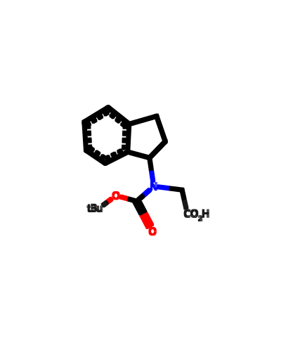 CC(C)(C)OC(=O)N(CC(=O)O)C1CCc2ccccc21